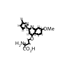 COc1ccc2c(OCC[C@H](N)C(=O)O)cc(-n3ccc(C)n3)nc2c1